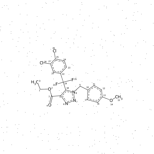 CCOC(=O)c1nnn(Cc2ccc(OC)cc2)c1C(F)(F)c1ccc(Cl)c(Cl)c1